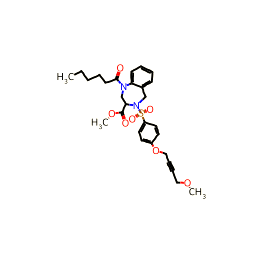 CCCCCC(=O)N1CC(C(=O)OC)N(S(=O)(=O)c2ccc(OCC#CCOC)cc2)Cc2ccccc21